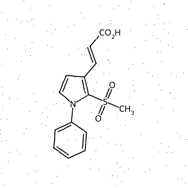 CS(=O)(=O)c1c(C=CC(=O)O)ccn1-c1ccccc1